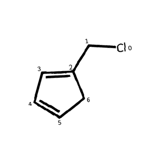 ClCC1=CC=CC1